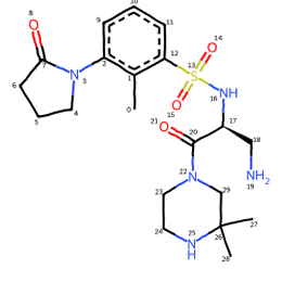 Cc1c(N2CCCC2=O)cccc1S(=O)(=O)N[C@@H](CN)C(=O)N1CCNC(C)(C)C1